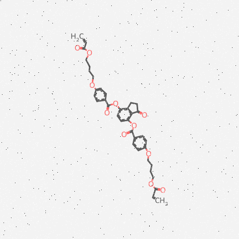 C=CC(=O)OCCCCOc1ccc(C(=O)Oc2ccc(OC(=O)c3ccc(OCCCCOC(=O)C=C)cc3)c3c2CCC3=O)cc1